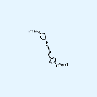 CCCCCC[C@H]1CC[C@H](C=CC#CC=Cc2ccc(CCCCC)cc2)CC1